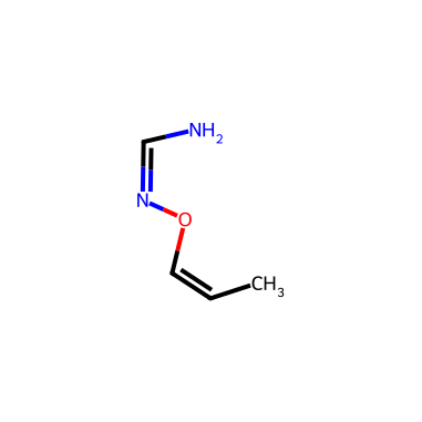 C/C=C\O/N=C\N